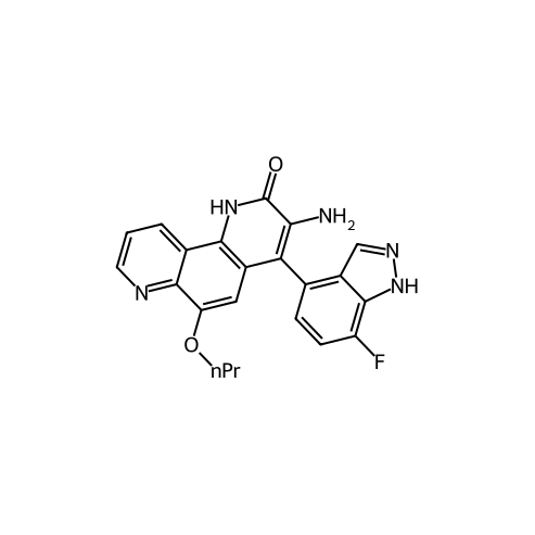 CCCOc1cc2c(-c3ccc(F)c4[nH]ncc34)c(N)c(=O)[nH]c2c2cccnc12